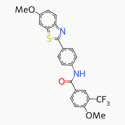 COc1ccc2nc(-c3ccc(NC(=O)c4ccc(OC)c(C(F)(F)F)c4)cc3)sc2c1